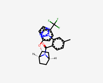 Cc1ccc(C(=O)N2[C@@H]3CC[C@H]2[C@H](Oc2ccc(C(F)(F)F)cn2)C3)c(-n2nccn2)c1